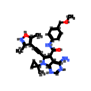 COCc1ccc(NC(=O)c2c(C#Cc3c(C)noc3C)n(C3(C)CC3)c3ncnc(N)c23)cc1